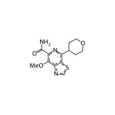 COc1c(C(N)=O)nc(C2CCOCC2)c2s[c]nc12